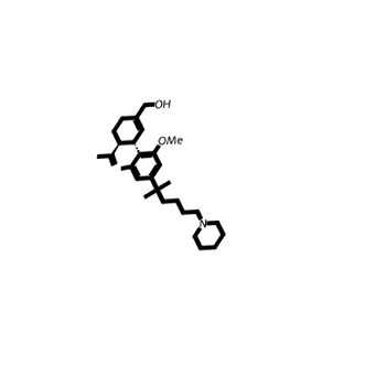 C=C(C)[C@H]1CCC(CO)=C[C@@H]1c1c(C)cc(C(C)(C)CCCCN2CCCCC2)cc1OC